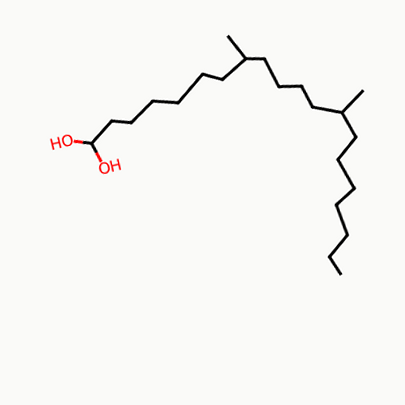 CCCCCCCC(C)CCCCC(C)CCCCCCC(O)O